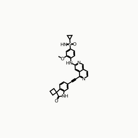 COc1cc(S(=N)(=O)C2CC2)ccc1Nc1cc2c(C#Cc3ccc4c(c3)NC(=O)C43CCC3)nccc2cn1